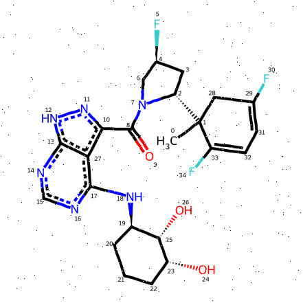 CC1([C@H]2C[C@H](F)CN2C(=O)c2n[nH]c3ncnc(N[C@@H]4CCC[C@@H](O)[C@H]4O)c23)CC(F)=CC=C1F